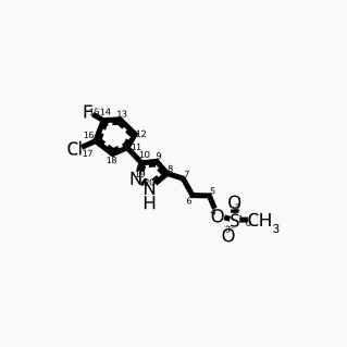 CS(=O)(=O)OCCCc1cc(-c2ccc(F)c(Cl)c2)n[nH]1